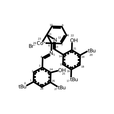 CC(C)(C)c1cc(C=N[C]23C=CC=C[C]2(N=Cc2cc(C(C)(C)C)cc(C(C)(C)C)c2O)[Co+]3)c(O)c(C(C)(C)C)c1.[Br-]